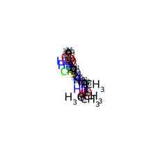 CC1(CNC(=O)OC(C)(C)C)CCN(c2cnc(Sc3cccc(NC(=O)NS(=O)(=O)c4ccccc4)c3Cl)cn2)CC1